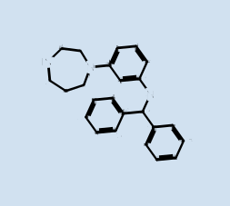 c1ccc(C(Nc2cccc(N3CCCNCC3)c2)c2ccccc2)cc1